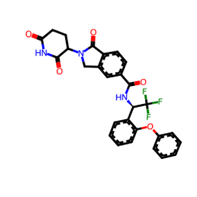 O=C1CCC(N2Cc3cc(C(=O)N[C@H](c4ccccc4Oc4ccccc4)C(F)(F)F)ccc3C2=O)C(=O)N1